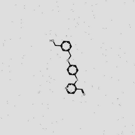 O=Cc1ccncc1Sc1ccc(OCc2cccc(CO)c2)cc1